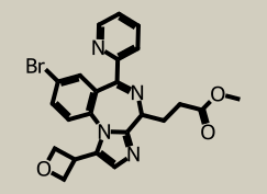 COC(=O)CCC1N=C(c2ccccn2)c2cc(Br)ccc2-n2c(C3COC3)cnc21